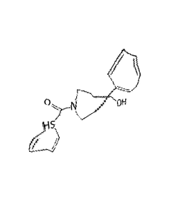 O=C(N1CCC(O)(c2ccccc2)CC1)[SH]1C=CC=C1